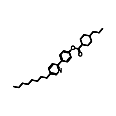 CCCCCCCCc1ccc(-c2ccc(OC(=O)C3CCC(CCC)CC3)cc2)nc1